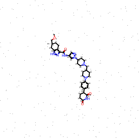 COC[C@@]1(C)CCc2c(C(=O)Nc3cnn(C4CCN(CC5CCN(c6ccc(C7CCC(=O)NC7=O)cc6)CC5)CC4)c3)n[nH]c2C1